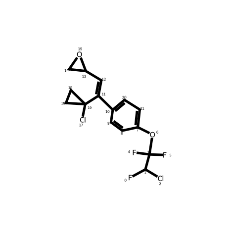 FC(Cl)C(F)(F)Oc1ccc(C(=CC2CO2)C2(Cl)CC2)cc1